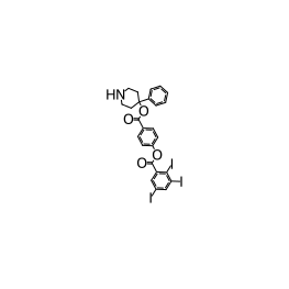 O=C(OC1(c2ccccc2)CCNCC1)c1ccc(OC(=O)c2cc(I)cc(I)c2I)cc1